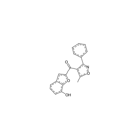 Cc1onc(-c2ccccc2)c1C(=O)c1cc2cccc(O)c2o1